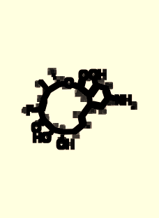 C[C@@H]1/C=C(/F)C(=O)[C@@H](O)[C@@H](O)C/C=C/c2cc(N)cc(O)c2C(=O)O[C@H]1C